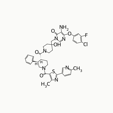 Cc1ccc(-c2nc(C)c(C(=O)N3CC[C@@H](C(=O)N4CCC(O)(Cn5cnc(Oc6ccc(Cl)c(F)c6)c(N)c5=O)CC4)[C@H](c4ccccc4)C3)s2)cn1